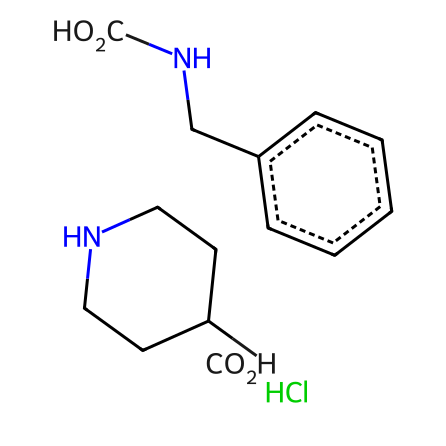 Cl.O=C(O)C1CCNCC1.O=C(O)NCc1ccccc1